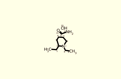 CCC1CCCCN1CC.Cl.NC=O